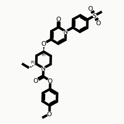 CC[C@@H]1C[C@H](Oc2ccn(-c3ccc(S(C)(=O)=O)cc3)c(=O)c2)CCN1C(=O)Oc1ccc(OC)cc1